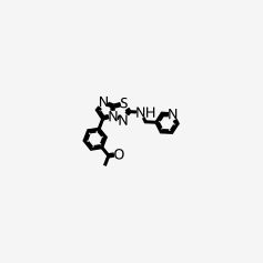 CC(=O)c1cccc(-c2cnc3sc(NCc4cccnc4)nn23)c1